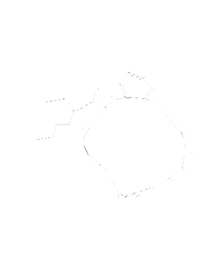 CCCCC(CC)C(O)C1COCCOCCOCCOCCOc2ccccc2O1